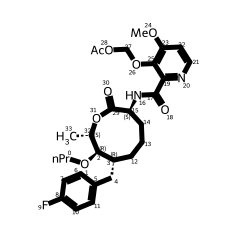 CCCO[C@@H]1[C@@H](Cc2ccc(F)cc2)CCC[C@H](NC(=O)c2nccc(OC)c2OCOC(C)=O)C(=O)O[C@H]1C